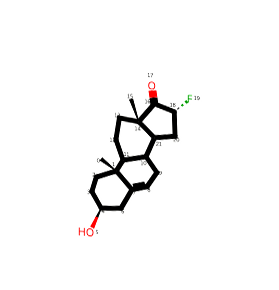 C[C@]12CC[C@H](O)CC1=CCC1C2CC[C@]2(C)C(=O)[C@H](F)CC12